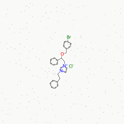 Brc1ccc(COC(C[n+]2ccn(CCc3ccccc3)c2)c2ccccc2)cc1.[Cl-]